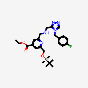 CCOC(=O)c1cc(CNCc2nncn2Cc2ccc(F)cc2)nc(CO[Si](C)(C)C(C)(C)C)c1